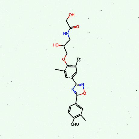 CCc1cc(-c2noc(-c3ccc(C=O)c(C)c3)n2)cc(C)c1OCC(O)CNC(=O)CO